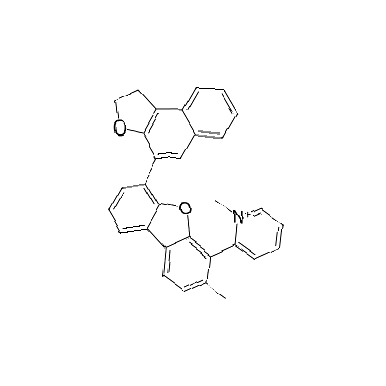 Cc1ccc2c(oc3c(-c4cc5ccccc5c5c4OCC5)cccc32)c1-c1cccc[n+]1C